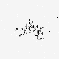 COC(=O)N[C@H](C(=O)N[C@@H](C)C(=O)N[C@H](C=O)CC(C)C)C(C)C